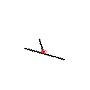 CCCCCCCCCCCCCCCCCCC(CCCCCCCCCCCCCCCC)C(=O)OCCCCCCCCCC